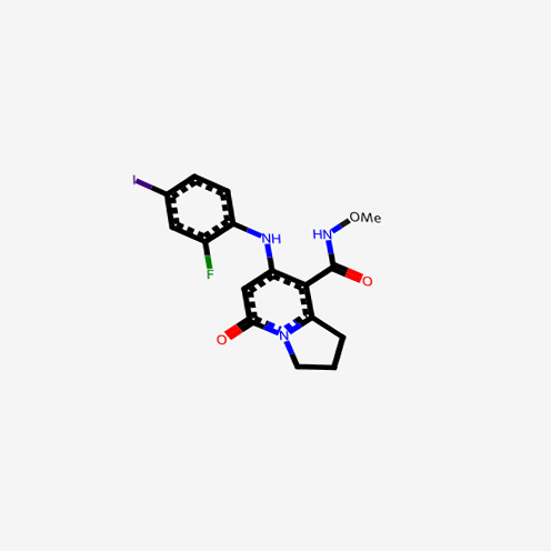 CONC(=O)c1c(Nc2ccc(I)cc2F)cc(=O)n2c1CCC2